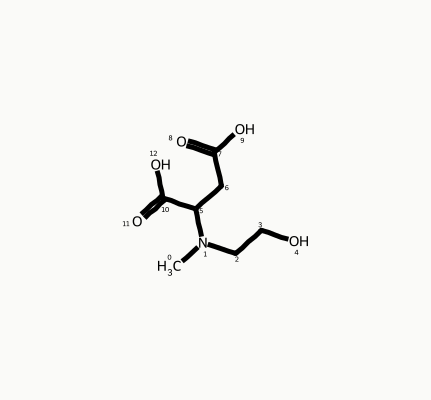 CN(CCO)C(CC(=O)O)C(=O)O